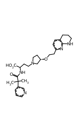 CC(C)(C(=O)NC(CCN1CC[C@@H](OCCc2ccc3c(n2)NCCC3)C1)C(=O)O)c1cccnc1